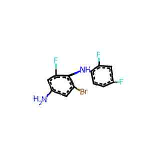 Nc1cc(F)c(Nc2ccc(F)cc2F)c(Br)c1